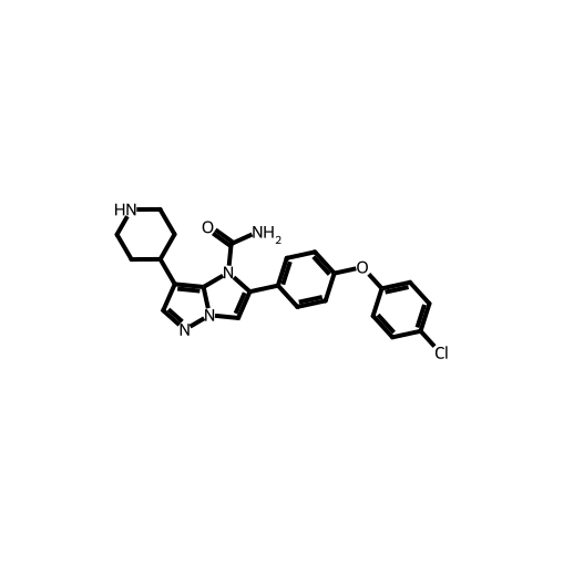 NC(=O)n1c(-c2ccc(Oc3ccc(Cl)cc3)cc2)cn2ncc(C3CCNCC3)c12